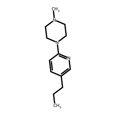 CCCc1ccc(N2CCN(C)CC2)nc1